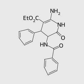 CCOC(=O)C1=C(N)NC(=O)C(NC(=O)c2ccccc2)C1c1ccccc1